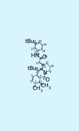 CC1C=CC=C(C(=O)N2CCC[C@H](CC(=O)Nc3cccc(C(C)(C)C)c3)[C@@H]2CC(C)(C)C)C1C